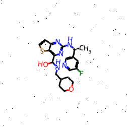 C[C@H](Nc1nc(C(O)NCC2CCOCC2)c2sccc2n1)c1cncc(F)c1